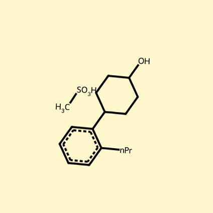 CCCc1ccccc1C1CCC(O)CC1.CS(=O)(=O)O